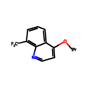 CC(C)Oc1ccnc2c(C(F)(F)F)cccc12